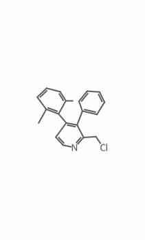 Cc1cccc(C)c1-c1ccnc(CCl)c1-c1ccccc1